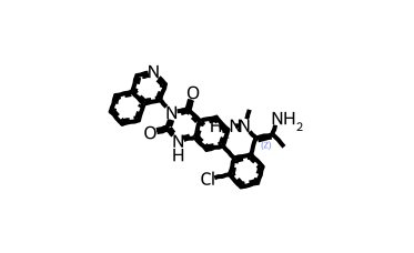 C/C(N)=C(\c1cccc(Cl)c1-c1ccc2c(=O)n(-c3cncc4ccccc34)c(=O)[nH]c2c1)N(C)N